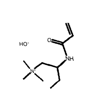 C=CC(=O)NC(CC)C[N+](C)(C)C.[OH-]